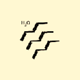 C=CC=CC.C=CC=CC.C=CC=CC.O